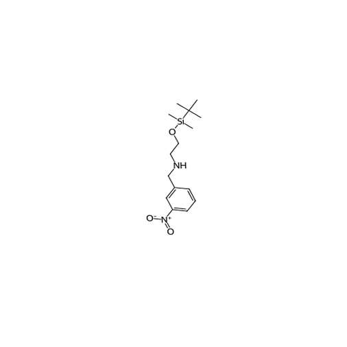 CC(C)(C)[Si](C)(C)OCCNCc1cccc([N+](=O)[O-])c1